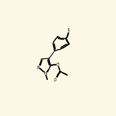 CC(=O)Oc1c(-c2ccc(F)cc2)cnn1C